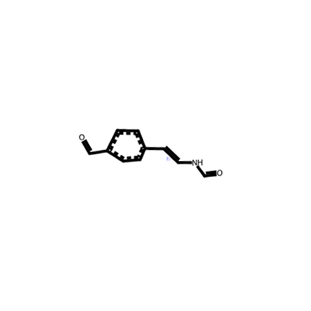 O=CN/C=C/c1ccc(C=O)cc1